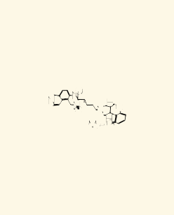 COc1cccc2c1[C@@H]1CN(CCCCC3[N+](=O)Cc4c(ccc5cnccc45)[N+]3=O)C[C@H]1CO2